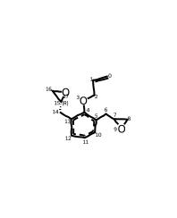 C=CCOc1c(CC2CO2)cccc1C[C@@H]1CO1